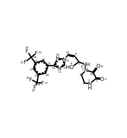 O=C1NCCN(NC(O)/C=C\n2cnc(-c3cc(C(F)(F)F)cc(C(F)(F)F)c3)n2)C1=O